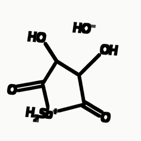 O=[C]1[SbH2+][C](=O)C(O)C1O.[OH-]